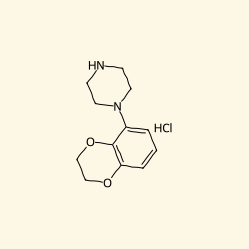 Cl.c1cc2c(c(N3CCNCC3)c1)OCCO2